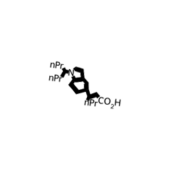 CCCC(=CC(=O)O)c1ccc2c(ccn2C(CCC)CCC)c1